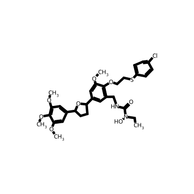 CCN(O)C(=O)NCc1cc(C2CCC(c3cc(OC)c(OC)c(OC)c3)O2)cc(OC)c1OCCSc1ccc(Cl)cc1